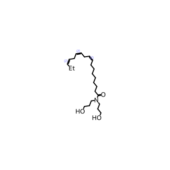 CC/C=C\C/C=C\C/C=C\CCCCCCCC(=O)N(CCCO)CCCO